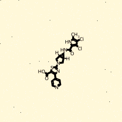 Cc1[nH]c(C(=O)N[C@@H]2[C@@H]3CN(c4nc(-c5ccncc5)c(C(=O)O)s4)C[C@@H]32)c(Cl)c1Cl